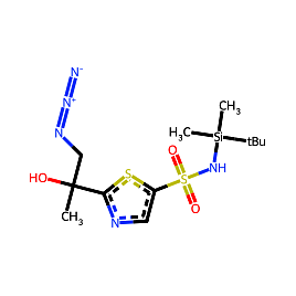 CC(O)(CN=[N+]=[N-])c1ncc(S(=O)(=O)N[Si](C)(C)C(C)(C)C)s1